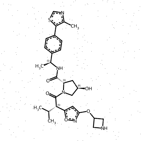 Cc1ncsc1-c1ccc([C@H](C)NC(=O)[C@@H]2C[C@@H](O)CN2C(=O)[C@H](c2cc(OC3CNC3)no2)C(C)C)cc1